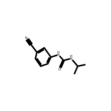 CC(C)NC(=O)Nc1cccc(C#N)c1